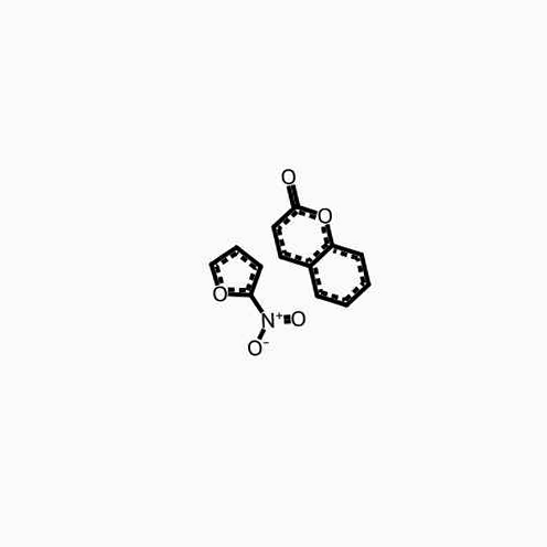 O=[N+]([O-])c1ccco1.O=c1ccc2ccccc2o1